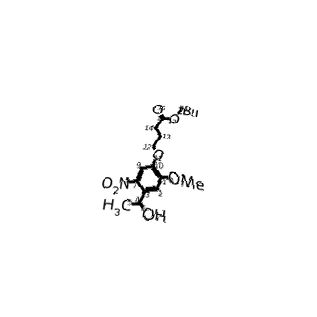 COc1cc(C(C)O)c([N+](=O)[O-])cc1OCCCC(=O)OC(C)(C)C